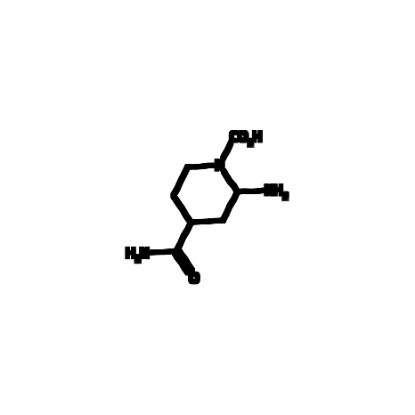 NC(=O)C1CCN(C(=O)O)C(N)C1